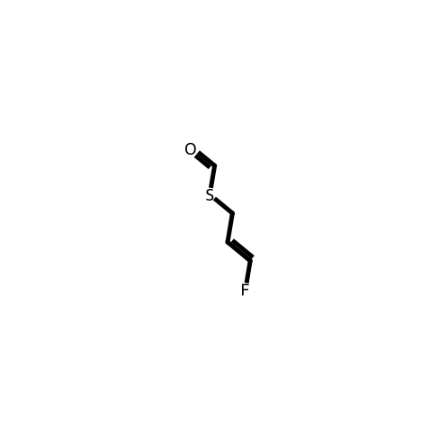 O=CSCC=CF